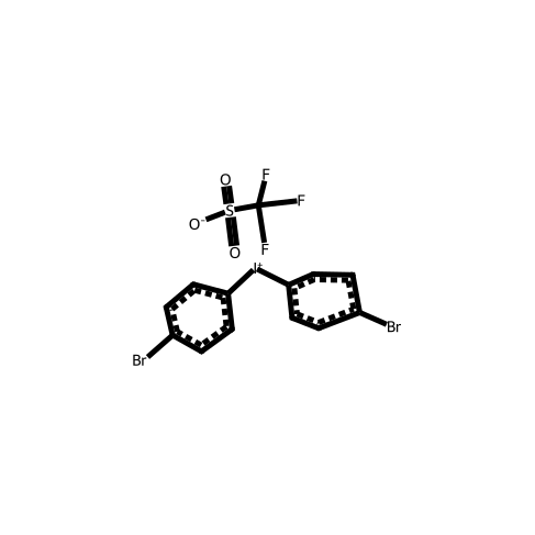 Brc1ccc([I+]c2ccc(Br)cc2)cc1.O=S(=O)([O-])C(F)(F)F